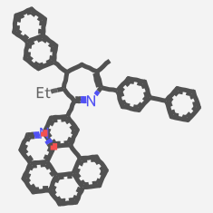 CCC1C(c2cccc(-c3cccc4ccc5ccc6ccncc6c5c34)c2)=NC(c2ccc(-c3ccccc3)cc2)=C(C)CC1c1ccc2ccccc2c1